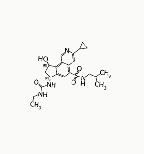 CCNC(=O)N[C@@H]1C[C@@H](O)c2c1cc(S(=O)(=O)NCC(C)C)c1cc(C3CC3)ncc21